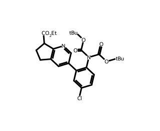 CCOC(=O)C1CCc2cc(-c3cc(Cl)ccc3N(C(=O)OC(C)(C)C)C(=O)OC(C)(C)C)cnc21